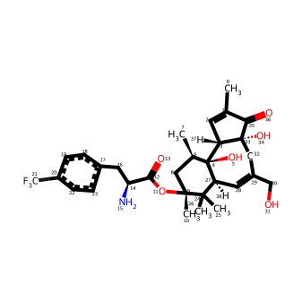 CC1=C[C@H]2[C@@]3(O)[C@H](C)C[C@@](C)(OC(=O)[C@@H](N)Cc4ccc(C(F)(F)F)cc4)C(C)(C)[C@@H]3C=C(CO)C[C@]2(O)C1=O